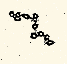 c1ccc2c(c1)-c1cccc3c(-c4ccc(-c5nc(-c6ccc(-n7c8ccccc8c8cc(-c9ccc%10c(c9)sc9ccccc9%10)ccc87)cc6)nc6ccccc56)cc4)ccc-2c13